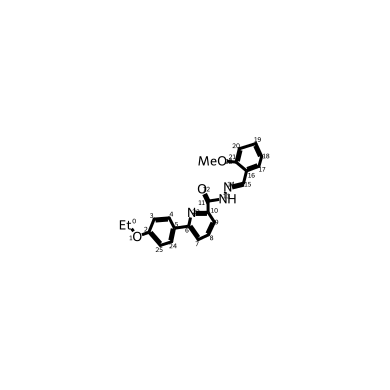 CCOc1ccc(-c2cccc(C(=O)NN=Cc3ccccc3OC)n2)cc1